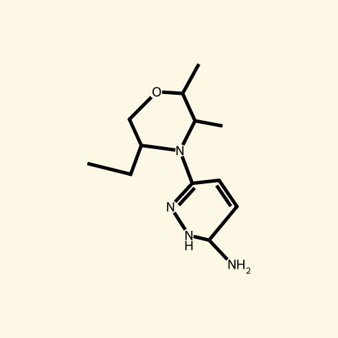 CCC1COC(C)C(C)N1C1=NN[C](N)C=C1